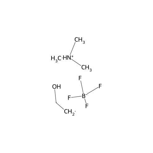 C[NH+](C)C.F[B-](F)(F)F.[CH2]CO